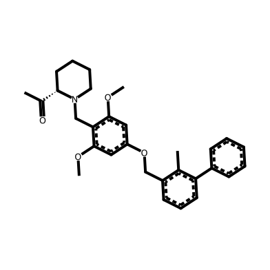 COc1cc(OCc2cccc(-c3ccccc3)c2C)cc(OC)c1CN1CCCC[C@H]1C(C)=O